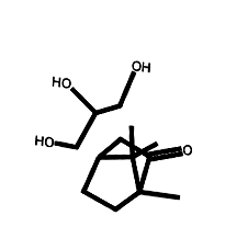 CC12CCC(CC1=O)C2(C)C.OCC(O)CO